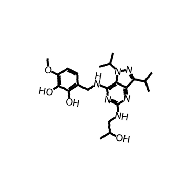 COc1ccc(CNc2nc(NCC(C)O)nc3c(C(C)C)nn(C(C)C)c23)c(O)c1O